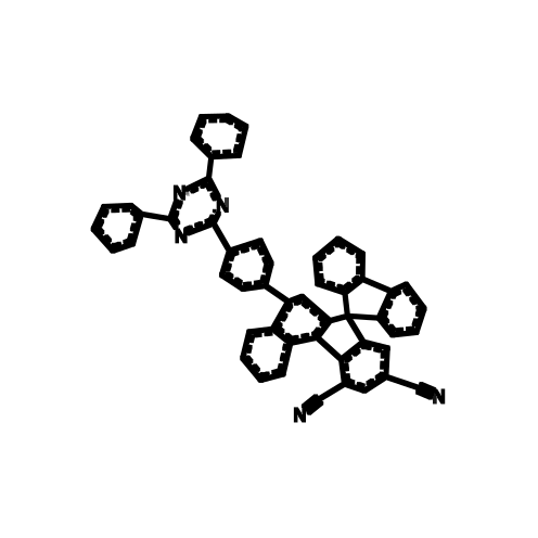 N#Cc1cc(C#N)c2c(c1)C1(c3ccccc3-c3ccccc31)c1cc(-c3ccc(-c4nc(-c5ccccc5)nc(-c5ccccc5)n4)cc3)c3ccccc3c1-2